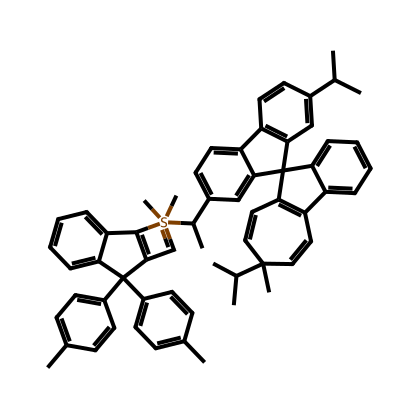 Cc1ccc(C2(c3ccc(C)cc3)C3=C(c4ccccc42)S(C)(C)(C(C)c2ccc4c(c2)C2(C5=C(C=CC(C)(C(C)C)C=C5)c5ccccc52)c2cc(C(C)C)ccc2-4)=C3)cc1